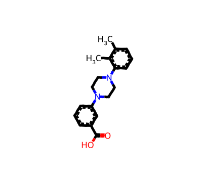 Cc1cccc(N2CCN(c3cccc(C(=O)O)c3)CC2)c1C